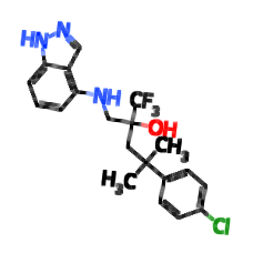 CC(C)(CC(O)(CNc1cccc2[nH]ncc12)C(F)(F)F)c1ccc(Cl)cc1